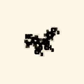 Cc1nc(-c2ccc(C(F)(F)F)cc2)sc1C(OCC(F)(F)F)c1ccc(C#N)c(C2CC2)c1